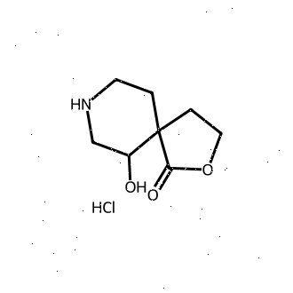 Cl.O=C1OCCC12CCNCC2O